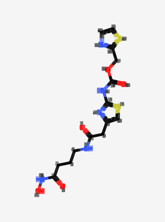 O=C(CCCNC(=O)Cc1csc(NC(=O)OCc2nccs2)n1)NO